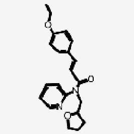 CCOc1ccc(/C=C/C(=O)N(CC2CCCO2)c2ccccn2)cc1